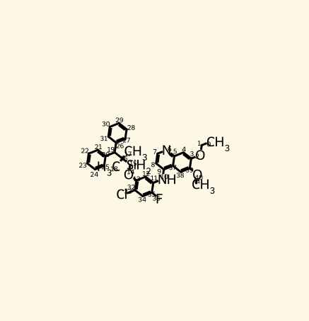 CCOc1cc2nccc(Nc3cc(O[SiH2]C(C)(C)C(c4ccccc4)c4ccccc4)c(Cl)cc3F)c2cc1OC